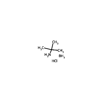 B.CC(C)(C)N.Cl